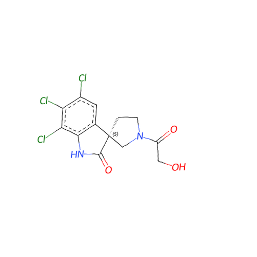 O=C(CO)N1CC[C@]2(C1)C(=O)Nc1c2cc(Cl)c(Cl)c1Cl